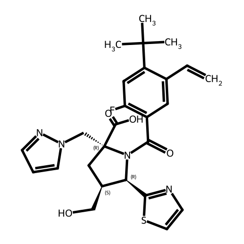 C=Cc1cc(C(=O)N2[C@@H](c3nccs3)[C@@H](CO)C[C@@]2(Cn2cccn2)C(=O)O)c(F)cc1C(C)(C)C